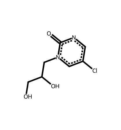 O=c1ncc(Cl)cn1CC(O)CO